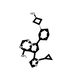 Nc1ncnn2c(-c3cccc([C@H]4C[C@H](O)C4)c3)cc(-c3ccnn3C3CC3)c12